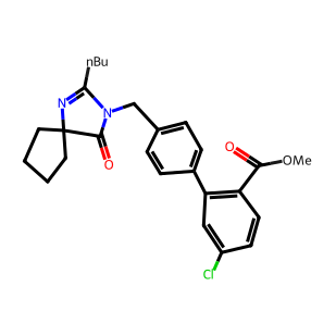 CCCCC1=NC2(CCCC2)C(=O)N1Cc1ccc(-c2cc(Cl)ccc2C(=O)OC)cc1